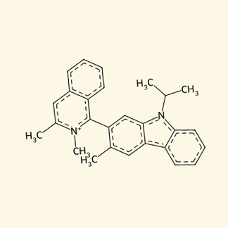 Cc1cc2c3ccccc3n(C(C)C)c2cc1-c1c2ccccc2cc(C)[n+]1C